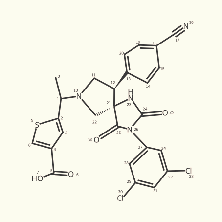 CC(c1cc(C(=O)O)cs1)N1C[C@@H](c2ccc(C#N)cc2)[C@@]2(C1)NC(=O)N(c1cc(Cl)cc(Cl)c1)C2=O